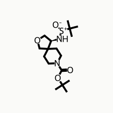 CC(C)(C)OC(=O)N1CCC2(CC1)COC[C@H]2N[S@+]([O-])C(C)(C)C